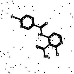 CC(C)c1ccc(C(=O)Nc2ccnc(Cl)c2C(N)=O)cn1